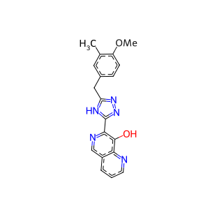 COc1ccc(Cc2nnc(-c3ncc4cccnc4c3O)[nH]2)cc1C